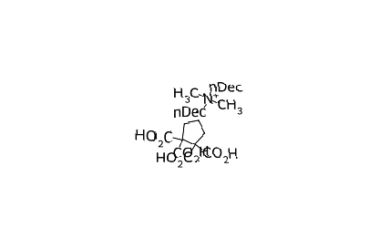 CCCCCCCCCC[N+](C)(C)CCCCCCCCCC.O=C(O)C1(C(=O)O)CCCC1(C(=O)O)C(=O)O